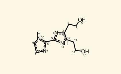 OCCc1nc(-c2ncc[nH]2)[nH]c1CCO